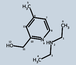 CCNCC.Cc1ccnc(CO)c1